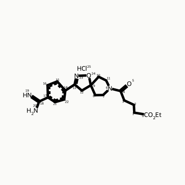 CCOC(=O)CCCC(=O)N1CCC2(CC1)CC(c1ccc(C(=N)N)cc1)=NO2.Cl